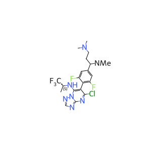 CNC(CCN(C)C)c1cc(F)c(-c2c(Cl)nc3ncnn3c2N[C@@H](C)C(F)(F)F)c(F)c1